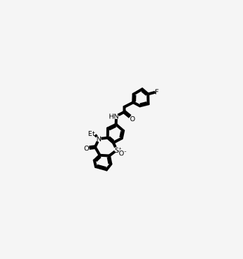 CCN1C(=O)c2ccccc2[S+]([O-])c2ccc(NC(=O)Cc3ccc(F)cc3)cc21